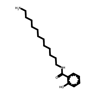 NCCCCCCCCCCCCNC(=O)c1ccccc1O